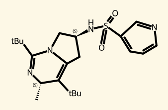 C[C@@H]1N=C(C(C)(C)C)N2C[C@@H](NS(=O)(=O)c3cccnc3)CC2=C1C(C)(C)C